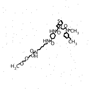 [CH2]COCCOCCOC(=O)NCCCCCCNC(=O)[C@H]1CC[C@H](NC(=O)c2cc3sccc3n2CC(=O)N(CC)c2cccc(CC)c2)CC1